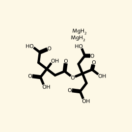 O=C(O)CC(O)(CC(=O)OC(CC(=O)O)(CC(=O)O)C(=O)O)C(=O)O.[MgH2].[MgH2]